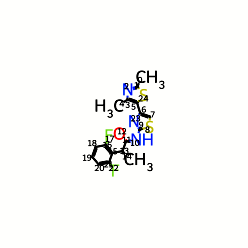 Cc1nc(C)c(-c2csc(NC(=O)C(C)c3c(F)cccc3F)n2)s1